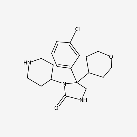 O=C1NCC(c2cccc(Cl)c2)(C2CCOCC2)N1C1CCNCC1